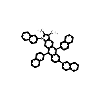 Cc1c(C)n(-c2ccc3ccccc3c2)c2cc3c(-c4ccc5ccccc5c4)c4ccc(-c5ccc6ccccc6c5)cc4c(-c4ccc5ccccc5c4)c3cc12